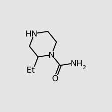 CCC1CNCCN1C(N)=O